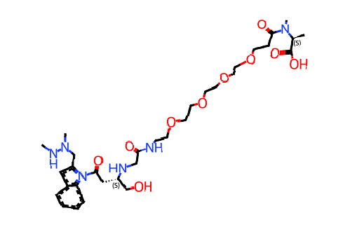 CNN(C)Cc1cc2ccccc2n1C(=O)C[C@@H](CO)NCC(=O)NCCOCCOCCOCCOCCC(=O)N(C)[C@@H](C)C(=O)O